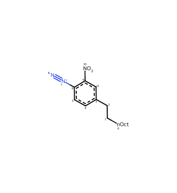 CCCCCCCCCCc1ccc([N+]#N)c([N+](=O)[O-])c1